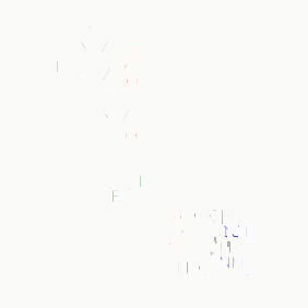 CC(C)(N)CC(C)(C(=O)OCCCC(F)(F)CCCOc1ccc2cc(-c3ccccc3C(F)(F)F)c(=O)oc2c1)C(C)(C)N